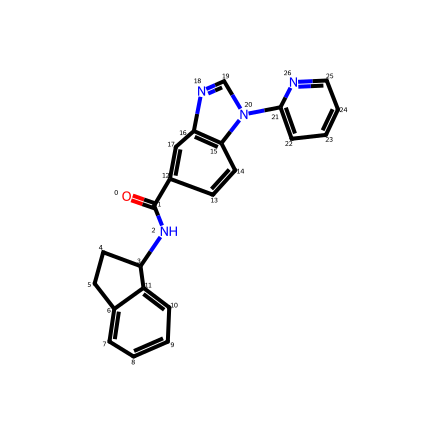 O=C(NC1CCc2ccccc21)c1ccc2c(c1)ncn2-c1ccccn1